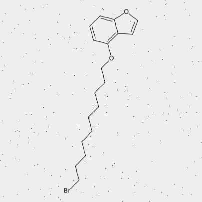 BrCCCCCCCCCCOc1cccc2occc12